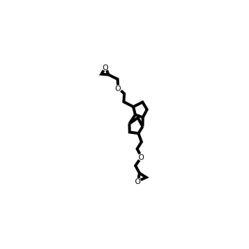 C(CC1CC2CC1C1CCC(CCOCC3CO3)C21)OCC1CO1